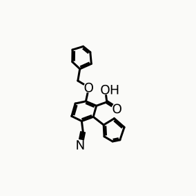 N#Cc1ccc(OCc2ccccc2)c(C(=O)O)c1-c1ccccc1